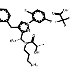 C[C@H](O)C(=O)N(CCCN)[C@@H](c1nn(-c2cc(F)ccc2F)cc1Cc1ccccc1)C(C)(C)C.O=C(O)C(F)(F)F